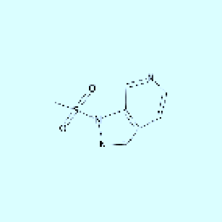 CS(=O)(=O)n1ncc2ccncc21